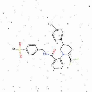 CCS(=O)(=O)c1ccc(CNC(=O)c2ccccc2N2CC(c3ccc(C(F)(F)F)cc3)CC[C@H]2C(F)F)cc1